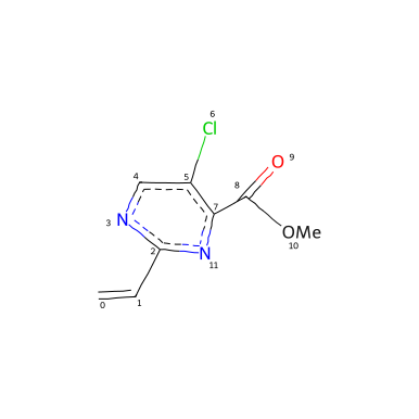 C=Cc1ncc(Cl)c(C(=O)OC)n1